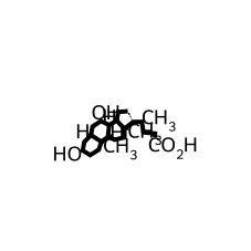 C[C@H](CCC(=O)O)[C@H]1CCC2[C@@H]3[C@@H](O)C[C@@H]4C[C@H](O)CC[C@]4(C)[C@H]3CC[C@@]21C